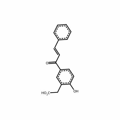 O=C(O)Cc1cc(C(=O)C=Cc2ccccc2)ccc1O